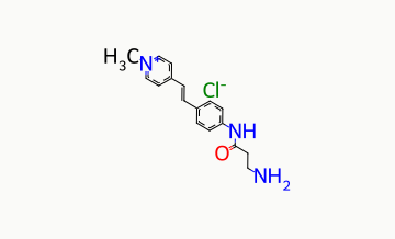 C[n+]1ccc(C=Cc2ccc(NC(=O)CCN)cc2)cc1.[Cl-]